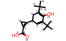 CC(C)(C)C1=CC(C2=C(C(=O)O)C2)CC(C(C)(C)C)=C1O